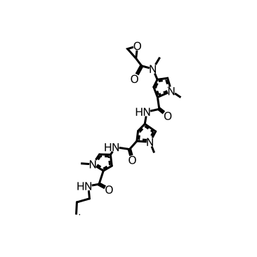 [CH2]CCNC(=O)c1cc(NC(=O)c2cc(NC(=O)c3cc(N(C)C(=O)C4CO4)cn3C)cn2C)cn1C